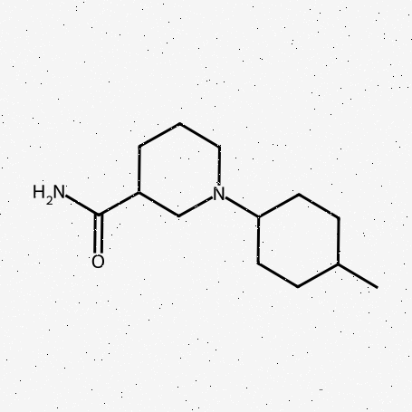 CC1CCC(N2CCCC(C(N)=O)C2)CC1